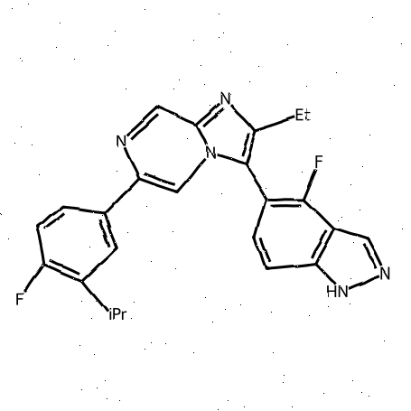 CCc1nc2cnc(-c3ccc(F)c(C(C)C)c3)cn2c1-c1ccc2[nH]ncc2c1F